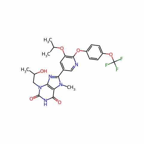 CC(O)Cn1c(=O)[nH]c(=O)c2c1nc(-c1cnc(Oc3ccc(OC(F)(F)F)cc3)c(OC(C)C)c1)n2C